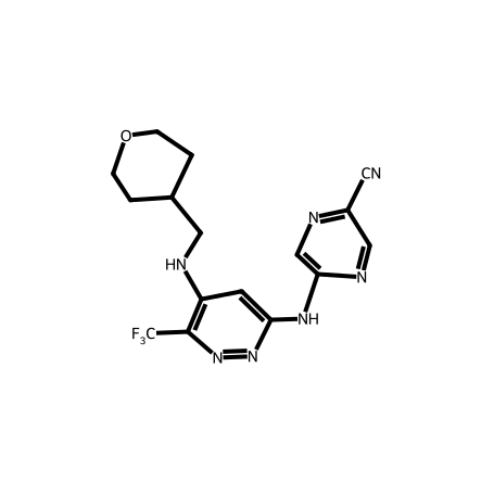 N#Cc1cnc(Nc2cc(NCC3CCOCC3)c(C(F)(F)F)nn2)cn1